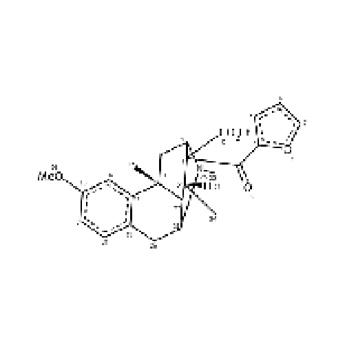 CCOC(=O)C1(C(=O)c2ccco2)C2C[C@@]3(C)c4cc(OC)ccc4CC(C3[C@H]1C)N2C